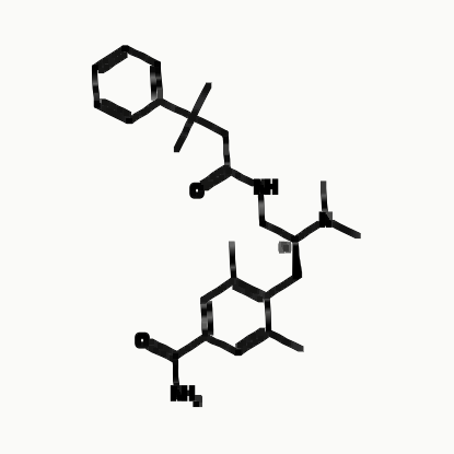 Cc1cc(C(N)=O)cc(C)c1C[C@@H](CNC(=O)CC(C)(C)c1ccccc1)N(C)C